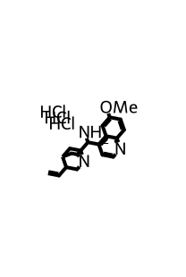 C=CC1CN2CCC1CC2C(N)c1ccnc2ccc(OC)cc12.Cl.Cl.Cl